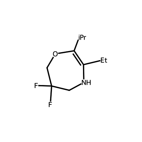 CCC1=C(C(C)C)OCC(F)(F)CN1